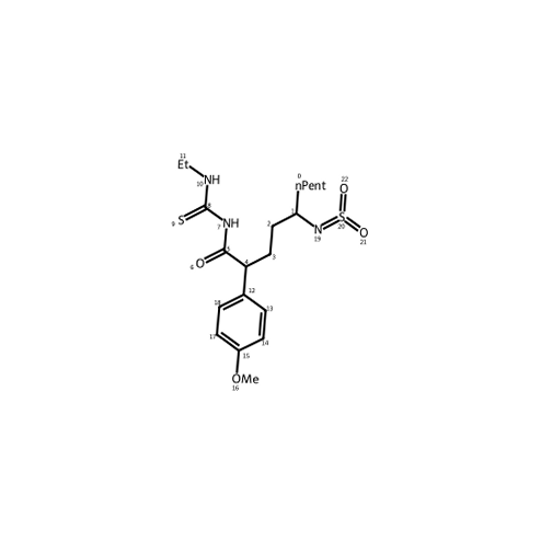 CCCCCC(CCC(C(=O)NC(=S)NCC)c1ccc(OC)cc1)N=S(=O)=O